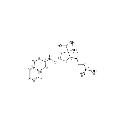 N[C@@]1(C(=O)O)C[C@@H](CNC2CCc3ccccc3C2)C[C@@H]1CCCB(O)O